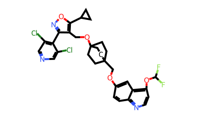 FC(F)Oc1ccnc2ccc(OCC34CCC(OCc5c(-c6c(Cl)cncc6Cl)noc5C5CC5)(CC3)CC4)cc12